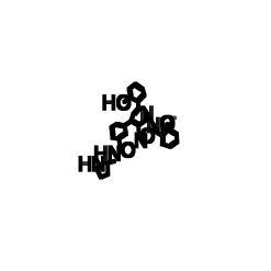 COc1ccccc1C(=O)Nc1nc(-c2ccccc2O)cc(-c2cccc(C(=O)NCC3CCCN3)c2)c1C#N